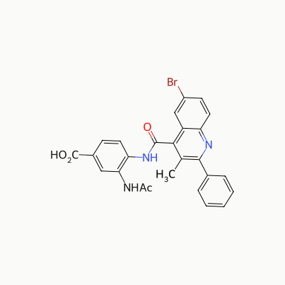 CC(=O)Nc1cc(C(=O)O)ccc1NC(=O)c1c(C)c(-c2ccccc2)nc2ccc(Br)cc12